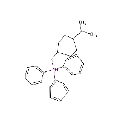 CC(C)C1CCC(C[PH](c2ccccc2)(c2ccccc2)c2ccccc2)CC1